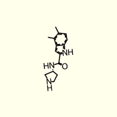 Cc1ccc2[nH]c(C(=O)N[C@@H]3CCNC3)cc2c1C